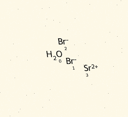 O.[Br-].[Br-].[Sr+2]